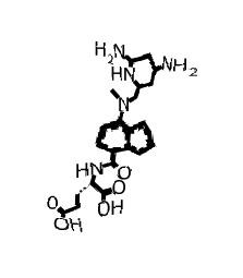 CN(CC1CC(N)CC(N)N1)c1ccc(C(=O)N[C@@H](CCC(=O)O)C(=O)O)c2ccccc12